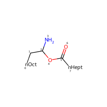 CCCCCCCCCC(N)OC(=O)CCCCCCC